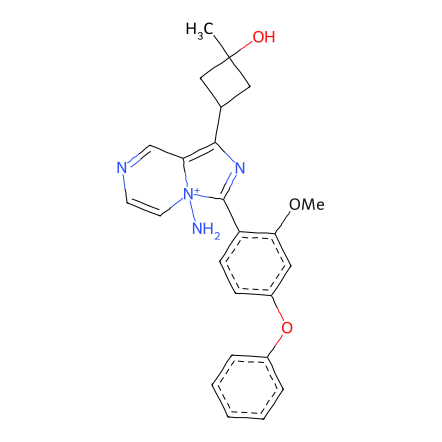 COc1cc(Oc2ccccc2)ccc1C1=NC(C2CC(C)(O)C2)=C2C=NC=C[N+]12N